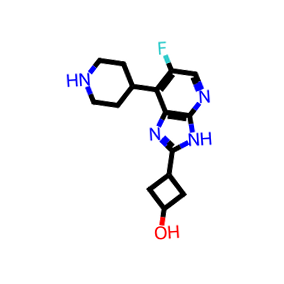 OC1CC(c2nc3c(C4CCNCC4)c(F)cnc3[nH]2)C1